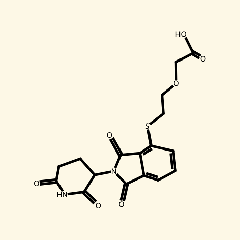 O=C(O)COCCSc1cccc2c1C(=O)N(C1CCC(=O)NC1=O)C2=O